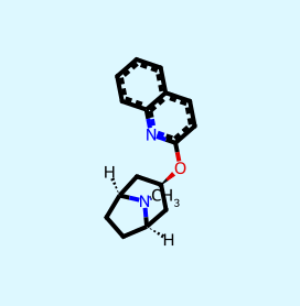 CN1[C@@H]2CC[C@H]1C[C@@H](Oc1ccc3ccccc3n1)C2